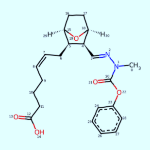 CN(N=C[C@H]1[C@@H](C/C=C\CCCC(=O)O)[C@H]2CC[C@@H]1O2)C(=O)Oc1ccccc1